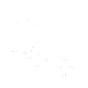 CN(C)C[C@H](Oc1ccc(C(F)(F)F)cc1)[C@H]1CCCN(C(=O)OC(C)(C)C)C1